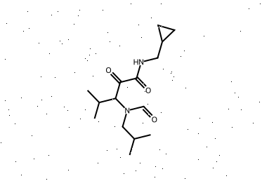 CC(C)CN(C=O)C(C(=O)C(=O)NCC1CC1)C(C)C